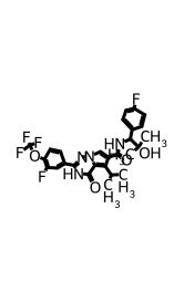 CC(C)c1c(C(=O)NC(c2ccc(F)cc2)C(C)(C)O)cn2nc(-c3ccc(OC(F)(F)F)c(F)c3)[nH]c(=O)c12